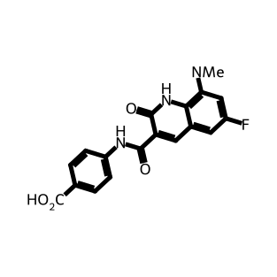 CNc1cc(F)cc2cc(C(=O)Nc3ccc(C(=O)O)cc3)c(=O)[nH]c12